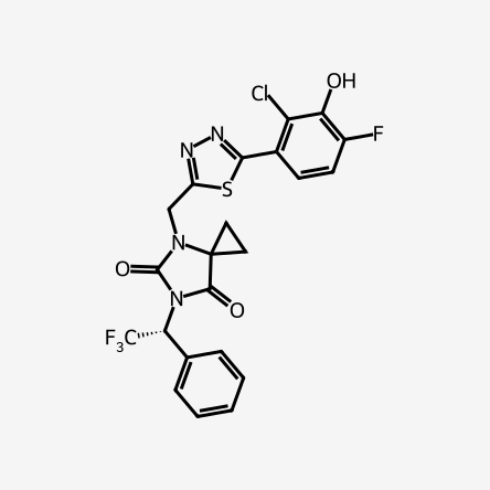 O=C1N([C@H](c2ccccc2)C(F)(F)F)C(=O)C2(CC2)N1Cc1nnc(-c2ccc(F)c(O)c2Cl)s1